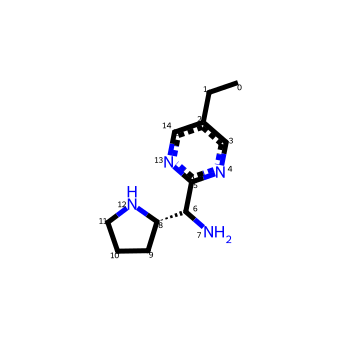 CCc1cnc(C(N)[C@@H]2CCCN2)nc1